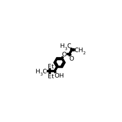 C=C(C)C(=O)Oc1ccc(C(O)C(C)(CC)CC)cc1